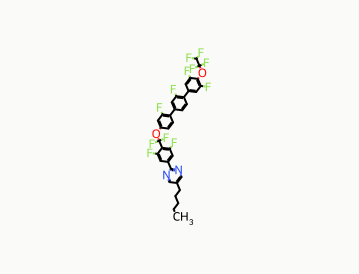 CCCCCc1cnc(-c2cc(F)c(C(F)(F)Oc3ccc(-c4ccc(-c5cc(F)c(OC(F)(F)C(F)F)c(F)c5)c(F)c4)c(F)c3)c(F)c2)nc1